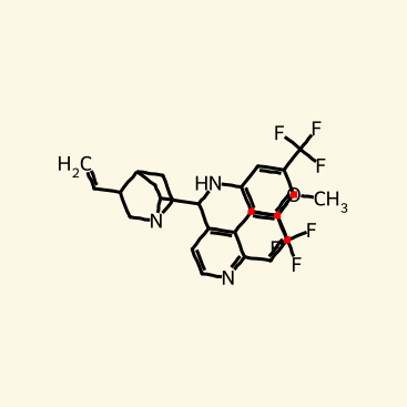 C=CC1CN2CCC1CC2C(Nc1cc(C(F)(F)F)cc(C(F)(F)F)c1)c1ccnc2ccc(OC)cc12